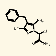 N#Cc1nn(C(Cl)C(N)=O)c(N)c1Cc1ccccc1